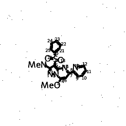 CNc1nn2c(OC)cc(-c3ccccn3)nc2c1S(=O)(=O)c1ccccc1